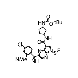 CNc1cc(Cl)ccc1C(=N)c1cnc2c(n1)c(C(=O)NC1CCC(NC(=O)OC(C)(C)C)C1)cn2SF